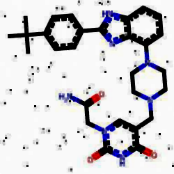 CC(C)(C)c1ccc(-c2nc3c(N4CCN(Cc5cn(CC(N)=O)c(=O)[nH]c5=O)CC4)cccc3[nH]2)cc1